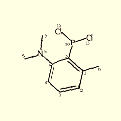 Cc1cccc(N(C)C)c1P(Cl)Cl